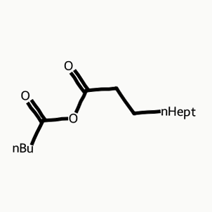 CCCCCCCCCC(=O)OC(=O)CCCC